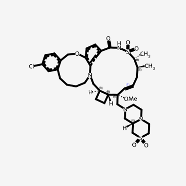 CO[C@@]1(CN2CCN3CCS(=O)(=O)C[C@@H]3C2)/C=C/C[C@H](C)[C@@H](C)S(=O)(=O)NC(=O)c2ccc3c(c2)N(CCCCc2cc(Cl)ccc2CO3)C[C@@H]2CC[C@H]21